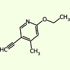 C#Cc1cnc(OCC)cc1C